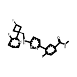 CNC(=O)c1ccc(I)c(-c2ccc(NC[C@]3(c4ncccc4F)C[C@H](F)C3)nn2)c1